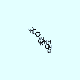 CCN(Cc1cccc(-c2ccnc(Nc3ccc(OC)nc3)n2)c1)C(C)C